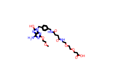 COCCOc1nc(N)c2nc(O)n(Cc3ccc(CNC(=O)CCC(=O)NCCOCCOCCC(=O)O)cc3)c2n1